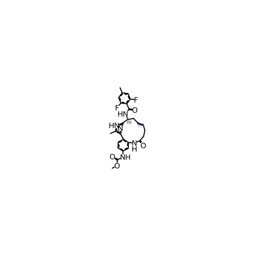 COC(=O)Nc1ccc2c(c1)NC(=O)CC/C=C/C[C@H](NC(=O)c1c(F)cc(C)cc1F)c1nc-2c(C)[nH]1